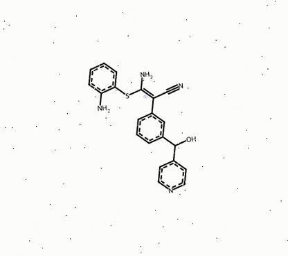 N#C/C(=C(\N)Sc1ccccc1N)c1cccc(C(O)c2ccncc2)c1